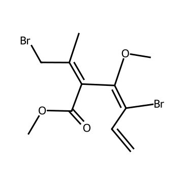 C=C/C(Br)=C(OC)\C(C(=O)OC)=C(/C)CBr